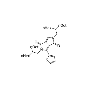 CCCCCCCCC(CCCCCC)CN1C=C2C(=O)N(CC(CCCCCC)CCCCCCCC)C(c3cccs3)=C2C1=O